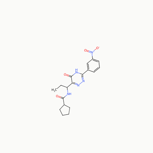 CCC(NC(=O)C1CCCC1)c1nnc(-c2cccc([N+](=O)[O-])c2)[nH]c1=O